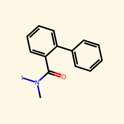 CN(I)C(=O)c1ccccc1-c1ccccc1